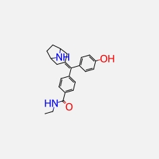 CCNC(=O)c1ccc(C(=C2CC3CCC(C2)N3)c2ccc(O)cc2)cc1